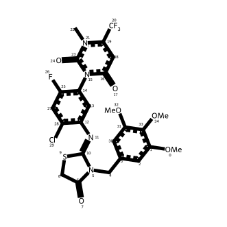 COc1cc(CN2C(=O)CS/C2=N\c2cc(-n3c(=O)cc(C(F)(F)F)n(C)c3=O)c(F)cc2Cl)cc(OC)c1OC